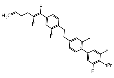 C=CCC/C(F)=C(\F)c1ccc(CCc2ccc(-c3cc(F)c(CCC)c(F)c3)c(F)c2)c(F)c1